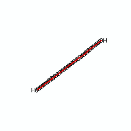 OCCOCCOCCOCCOCCOCCOCCOCCOCCOCCOCCOCCOCCOCCOCCOCCOCCOCCOCCOCCOCCOCCOCCOCCOCCOCCOCCOCCOCCOCCOCCOCCOCCOCCOCCOCCOCCOCCOCCOCCOCCOCCOCCOCCOCCOCCO